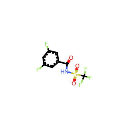 O=C(NS(=O)(=O)C(F)(F)F)c1cc(F)cc(F)c1